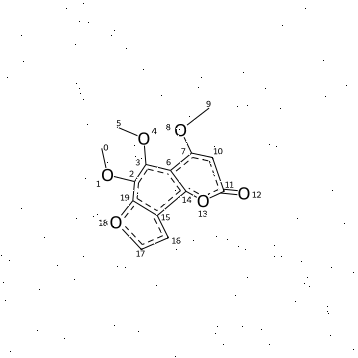 COc1c(OC)c2c(OC)cc(=O)oc2c2ccoc12